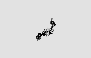 O=C(NC[C@H](C(=O)NCCN1CCc2cc(F)ccc21)C1CC1)c1ccc(-c2cccc(C(F)(F)F)c2)o1